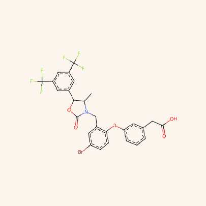 CC1C(c2cc(C(F)(F)F)cc(C(F)(F)F)c2)OC(=O)N1Cc1cc(Br)ccc1Oc1cccc(CC(=O)O)c1